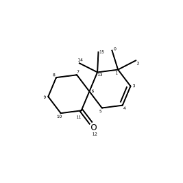 CC1(C)C=CCC2(CCCCC2=O)C1(C)C